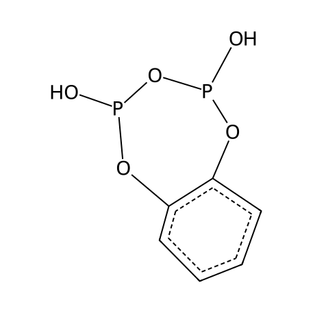 OP1Oc2ccccc2OP(O)O1